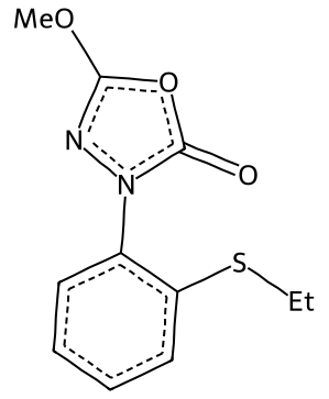 CCSc1ccccc1-n1nc(OC)oc1=O